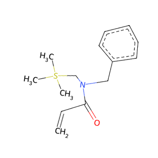 C=CC(=O)N(Cc1ccccc1)CS(C)(C)C